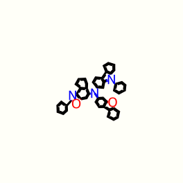 c1ccc(-c2nc3c(cc(N(c4ccc5c(c4)oc4ccccc45)c4ccc5c6ccccc6n(-c6ccccc6)c5c4)c4ccccc43)o2)cc1